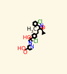 Cc1cccc(Cl)c1-c1noc(C2CC2)c1CCc1ccc(C2(O)CN(c3cc(C(=O)O)ccn3)C2)c(Cl)c1